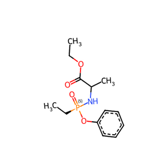 CCOC(=O)C(C)N[P@](=O)(CC)Oc1ccccc1